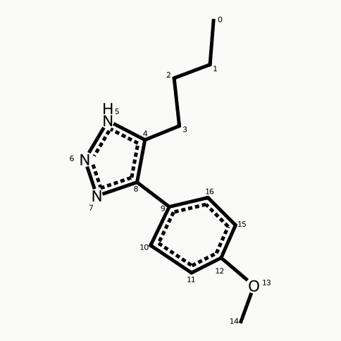 CCCCc1[nH]nnc1-c1ccc(OC)cc1